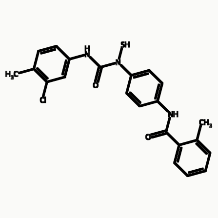 Cc1ccc(NC(=O)N(S)c2ccc(NC(=O)c3ccccc3C)cc2)cc1Cl